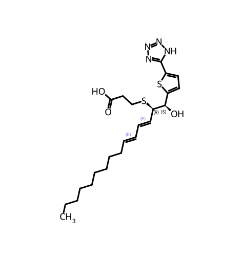 CCCCCCCCC/C=C/C=C/[C@@H](SCCC(=O)O)[C@H](O)c1ccc(-c2nnn[nH]2)s1